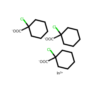 O=C([O-])C1(Cl)CCCCC1.O=C([O-])C1(Cl)CCCCC1.O=C([O-])C1(Cl)CCCCC1.[In+3]